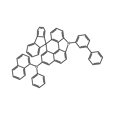 c1ccc(-c2cccc(-n3c4cccc5c4c4c6c(cc(N(c7ccccc7)c7cccc8ccccc78)cc6ccc43)C53c4ccccc4-c4ccccc43)c2)cc1